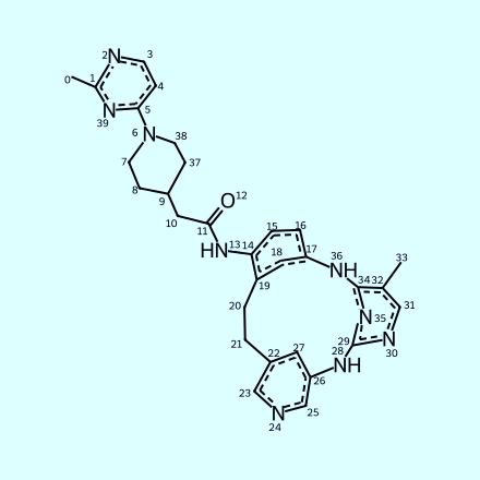 Cc1nccc(N2CCC(CC(=O)Nc3ccc4cc3CCc3cncc(c3)Nc3ncc(C)c(n3)N4)CC2)n1